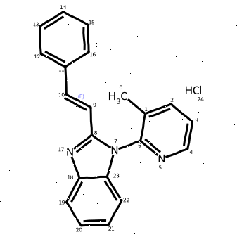 Cc1cccnc1-n1c(/C=C/c2ccccc2)nc2ccccc21.Cl